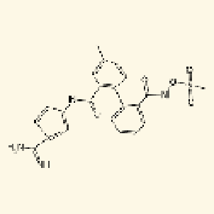 Cc1ccc(-c2ccccc2C(=O)NOS(C)(=O)=O)c(C(=O)Nc2ccc(C(=N)N)cc2)c1